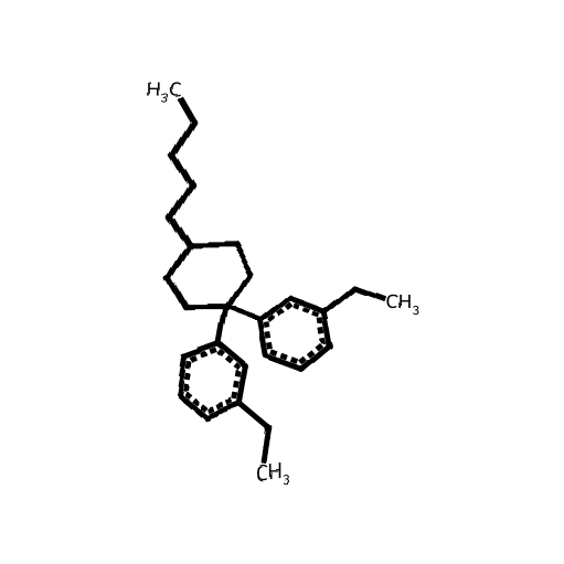 CCCCCC1CCC(c2cccc(CC)c2)(c2cccc(CC)c2)CC1